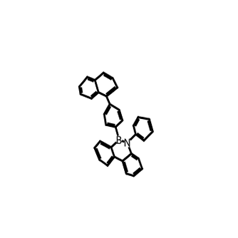 c1ccc(N2B(c3ccc(-c4cccc5ccccc45)cc3)c3ccccc3-c3ccccc32)cc1